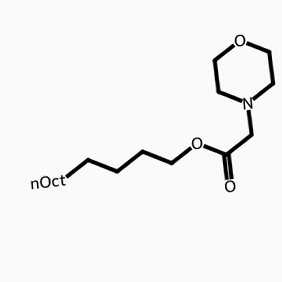 CCCCCCCCCCCCOC(=O)CN1CCOCC1